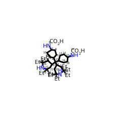 CCC1C(C(C2CCC(NC(=O)O)CC2)(C2CCC(NC(=O)O)CC2)C2CC(CC)(CC)NC(CC)(CC)C2CC)CC(CC)(CC)NC1(CC)CC